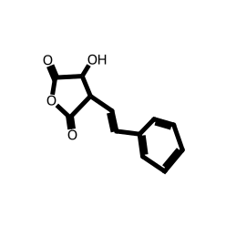 O=C1OC(=O)C(C=Cc2ccccc2)C1O